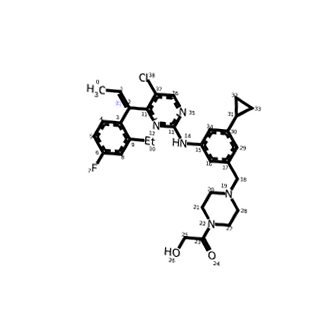 C/C=C(\c1ccc(F)cc1CC)c1nc(Nc2cc(CN3CCN(C(=O)CO)CC3)cc(C3CC3)c2)ncc1Cl